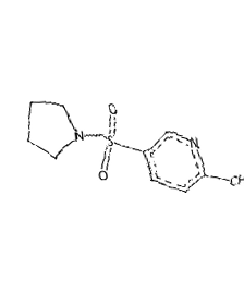 Cc1ccc(S(=O)(=O)N2CCCC2)cn1